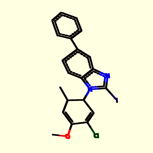 COC1=CC(C)C(n2c(I)nc3cc(-c4ccccc4)ccc32)C=C1Cl